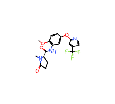 COc1ccc(Oc2cc(C(F)(F)F)ccn2)cc1NC(=O)[C@@H]1CCC(=O)N1C